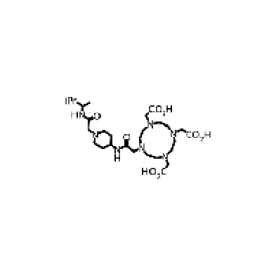 CC(C)C(C)NC(=O)CN1CCC(NC(=O)CN2CCN(CC(=O)O)CCN(CC(=O)O)CCN(CC(=O)O)CC2)CC1